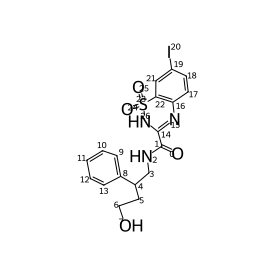 O=C(NCC(CCO)c1ccccc1)C1=Nc2ccc(I)cc2S(=O)(=O)N1